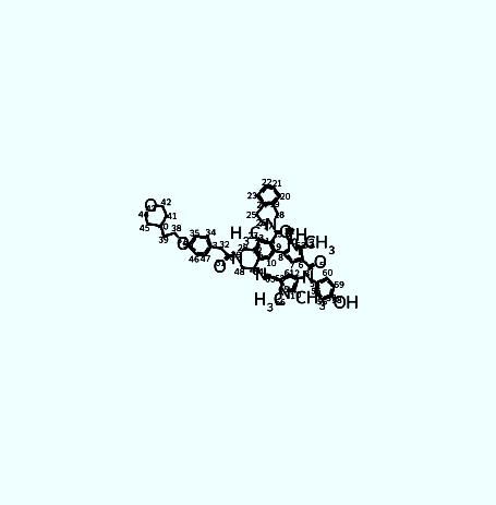 Cc1c(N(C(=O)c2cc(-c3cc4c(cc3C(=O)N3Cc5ccccc5C[C@H]3C)CN(C(=O)Cc3ccc(OCCC5CCOCC5)cc3)CC4)n(C)c2C)c2ccc(O)cc2)cc(C#N)n1C